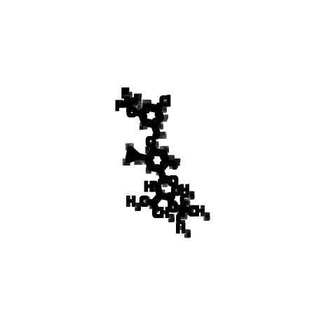 CC(C)C(NC(=O)c1cc(C2CC2)c(OCc2cc(Cl)cc(OC(F)(F)F)c2)cc1F)C(=O)OC(C)(C)C